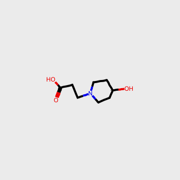 O=C(O)CCN1CC[C](O)CC1